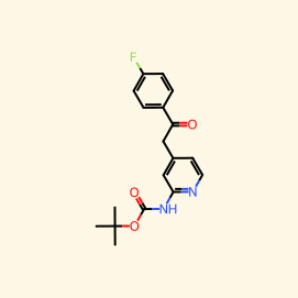 CC(C)(C)OC(=O)Nc1cc(CC(=O)c2ccc(F)cc2)ccn1